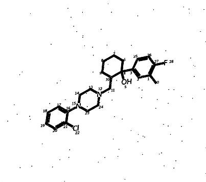 Cc1cc(C2(O)CCCCC2CN2CCN(c3ccccc3Cl)CC2)ccc1F